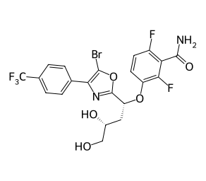 NC(=O)c1c(F)ccc(O[C@H](C[C@@H](O)CO)c2nc(-c3ccc(C(F)(F)F)cc3)c(Br)o2)c1F